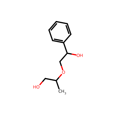 CC(CO)OCC(O)c1ccccc1